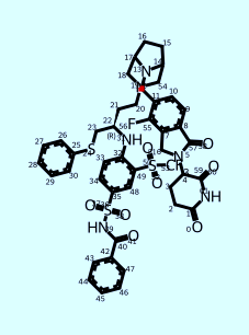 O=C1CCC(N2Cc3c(ccc(CN4C5CCC4CN(CC[C@H](CSc4ccccc4)Nc4ccc(S(=O)(=O)NC(=O)c6ccccc6)cc4S(=O)(=O)C(F)(F)F)C5)c3F)C2=O)C(=O)N1